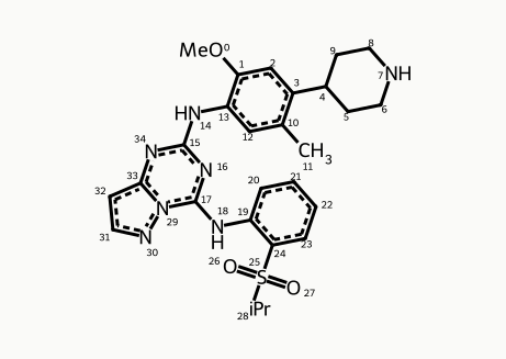 COc1cc(C2CCNCC2)c(C)cc1Nc1nc(Nc2ccccc2S(=O)(=O)C(C)C)n2nccc2n1